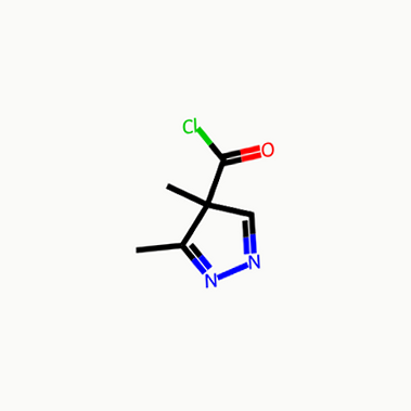 CC1=NN=CC1(C)C(=O)Cl